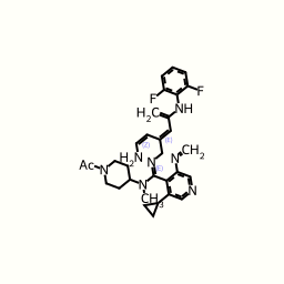 C=Nc1cncc(C2CC2)c1/C(=N\CC(/C=C\N)=C/C(=C)Nc1c(F)cccc1F)N(C)C1CCN(C(C)=O)CC1